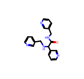 O=C(NCc1cccnc1)C(NCc1cccnc1)c1cccnc1